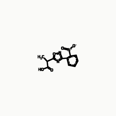 CC(C(=O)O)c1nc(-c2ccccc2[N+](=O)[O-])no1